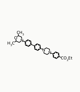 CCOC(=O)c1ccc(N2CCN(c3ccc(-c4ccc(N5CC(C)OC(C)C5)cc4)cc3)CC2)cc1